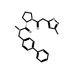 Cc1cc(CC(=O)N2CCC[C@H]2C(=O)N(C)Cc2ccc(-c3ccccc3)cc2)on1